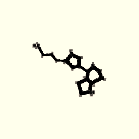 CCCCn1cc(-c2ncnc3[nH]ccc23)cn1